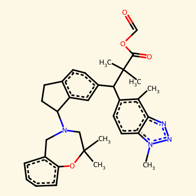 Cc1c(C(c2ccc3c(c2)C(N2Cc4ccccc4OC(C)(C)C2)CC3)C(C)(C)C(=O)OC=O)ccc2c1nnn2C